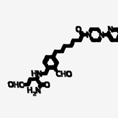 NC(=O)C(CCC=O)NCc1ccc(CCCCCCC(=O)N2CCN(c3ccccn3)CC2)cc1C=O